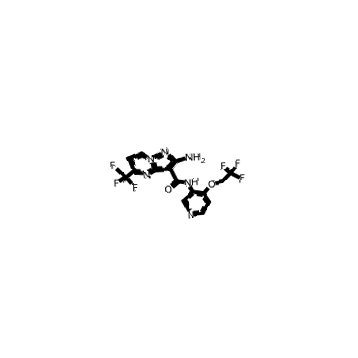 Nc1nn2ccc(C(F)(F)F)nc2c1C(=O)Nc1cnccc1OCC(F)(F)F